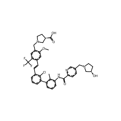 COc1cc(/C=C/c2cccc(-c3cccc(NC(=O)c4ccc(CN5CC[C@@H](O)C5)cn4)c3C)c2Cl)c(C(F)(F)F)cc1CN1CC[C@@H](C(=O)O)C1